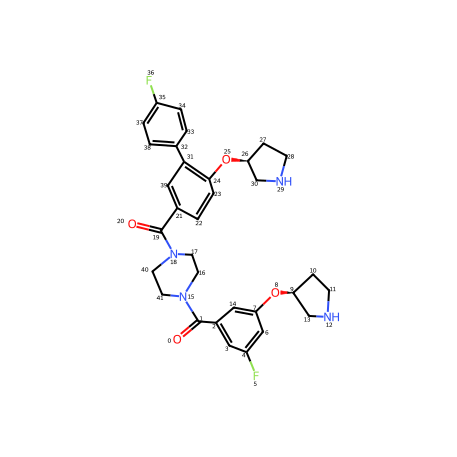 O=C(c1cc(F)cc(O[C@H]2CCNC2)c1)N1CCN(C(=O)c2ccc(O[C@H]3CCNC3)c(-c3ccc(F)cc3)c2)CC1